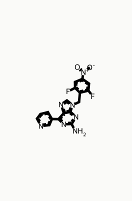 Nc1nc(-c2cccnc2)c2ncn(Cc3c(F)cc([N+](=O)[O-])cc3F)c2n1